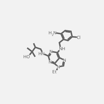 CCn1cnc2c(NCc3cc(Cl)ccc3N)nc(NCC(C)C(C)(C)O)nc21